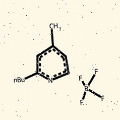 CCCCc1cc(C)ccn1.F[B-](F)(F)F